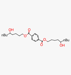 CCCCC(O)CCCCOC(=O)c1ccc(C(=O)OCCCCC(O)CCCC)cc1